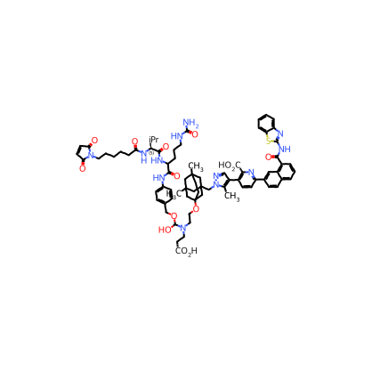 Cc1c(-c2ccc(-c3ccc4cccc(C(=O)Nc5nc6ccccc6s5)c4c3)nc2C(=O)O)cnn1CC12CC3(C)CC(C)(C1)CC(OCCN(CCC(=O)O)C(O)OCc1ccc(NC(=O)C(CCCNC(N)=O)NC(=O)[C@@H](NC(=O)CCCCCN4C(=O)C=CC4=O)C(C)C)cc1)(C3)C2